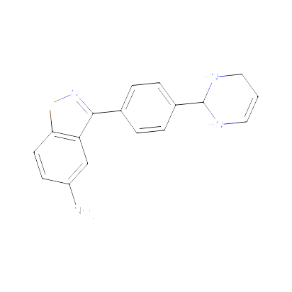 O=[N+]([O-])c1ccc2snc(-c3ccc(C4NC=CCN4)cc3)c2c1